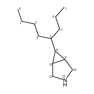 CCCCC(CCC)C1C2CNCC21